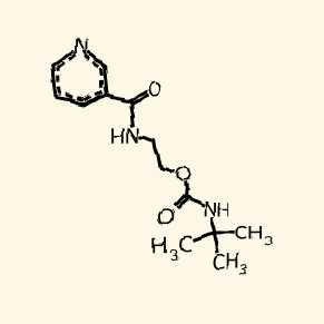 CC(C)(C)NC(=O)OCCNC(=O)c1cccnc1